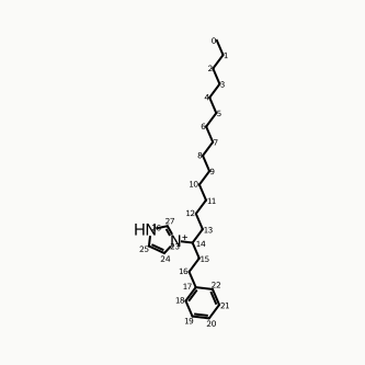 CCCCCCCCCCCCCCC(CCc1ccccc1)[n+]1cc[nH]c1